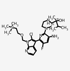 CC(C)[C@@](C)(O)[C@@H]1CN(c2nc(-c3c(Cl)n(COCC[Si](C)(C)C)c4ncccc34)c(F)cc2N)CCN1